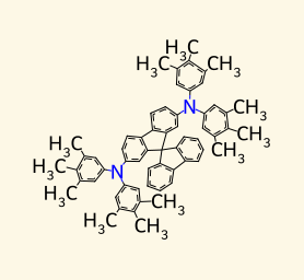 Cc1cc(N(c2cc(C)c(C)c(C)c2)c2ccc3c(c2)C2(c4ccccc4-c4ccccc42)c2cc(N(c4cc(C)c(C)c(C)c4)c4cc(C)c(C)c(C)c4)ccc2-3)cc(C)c1C